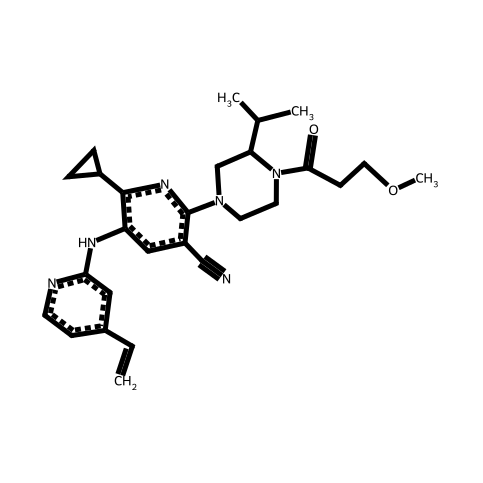 C=Cc1ccnc(Nc2cc(C#N)c(N3CCN(C(=O)CCOC)C(C(C)C)C3)nc2C2CC2)c1